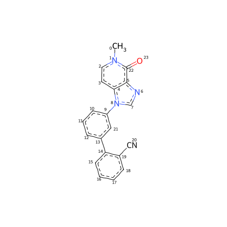 Cn1ccc2c(ncn2-c2cccc(-c3ccccc3C#N)c2)c1=O